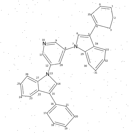 C1=CCCC(c2cn(-c3cncc(-n4cc(-c5ccccc5)c5ccccc54)c3)c3ccccc23)=C1